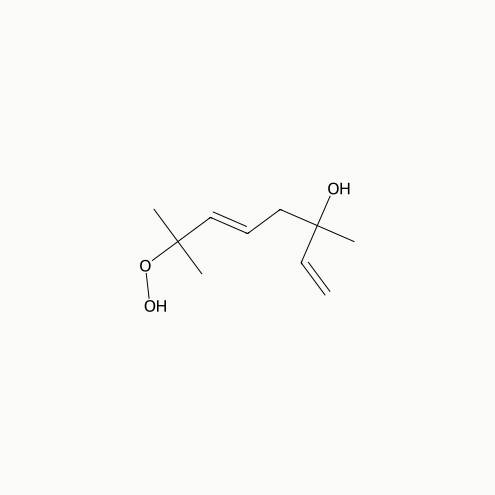 C=CC(C)(O)C/C=C/C(C)(C)OO